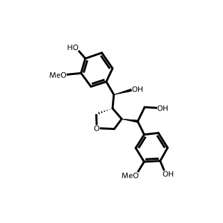 COc1cc(C(CO)[C@H]2COC[C@@H]2[C@H](O)c2ccc(O)c(OC)c2)ccc1O